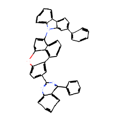 c1ccc(-c2ccc3c4ccccc4n(-c4ccc5c6c(cccc46)-c4cc(-c6nc(-c7ccccc7)c7ccccc7n6)ccc4O5)c3c2)cc1